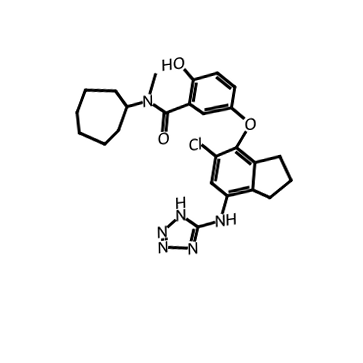 CN(C(=O)c1cc(Oc2c(Cl)cc(Nc3nnn[nH]3)c3c2CCC3)ccc1O)C1CCCCCC1